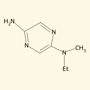 CCN(C)c1cnc(N)cn1